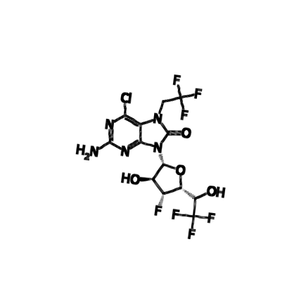 Nc1nc(Cl)c2c(n1)n([C@@H]1O[C@H](C(O)C(F)(F)F)[C@H](F)[C@H]1O)c(=O)n2CC(F)(F)F